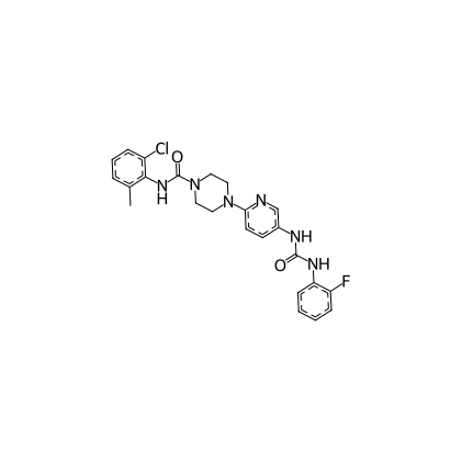 Cc1cccc(Cl)c1NC(=O)N1CCN(c2ccc(NC(=O)Nc3ccccc3F)cn2)CC1